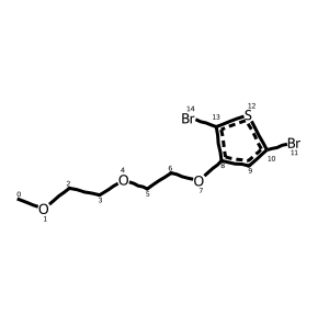 COCCOCCOc1cc(Br)sc1Br